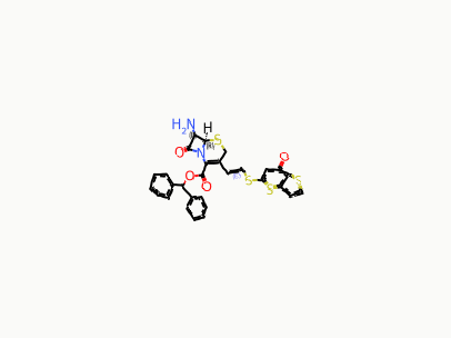 N[C@@H]1C(=O)N2C(C(=O)OC(c3ccccc3)c3ccccc3)=C(/C=C/Sc3cc(=O)c4sccc4s3)CS[C@H]12